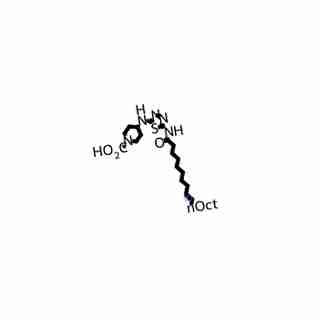 CCCCCCCC/C=C/CCCCCCCC(=O)Nc1nnc(NC2CCN(C(=O)O)CC2)s1